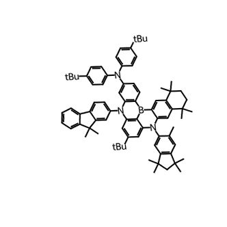 Cc1cc2c(cc1N1c3cc4c(cc3B3c5ccc(N(c6ccc(C(C)(C)C)cc6)c6ccc(C(C)(C)C)cc6)cc5N(c5ccc6c(c5)C(C)(C)c5ccccc5-6)c5cc(C(C)(C)C)cc1c53)C(C)(C)CCC4(C)C)C(C)(C)CC2(C)C